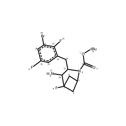 CC(C)(C)OC(=O)N1C2CC(F)(C2)C(N)C1Cc1cc(F)cc(Br)c1F